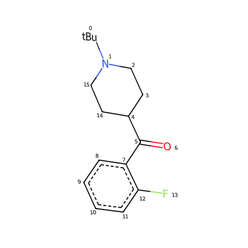 CC(C)(C)N1CCC(C(=O)c2ccccc2F)CC1